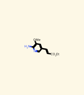 CCOC(=O)C=Cc1cnc(N)c(OC)c1